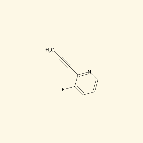 [CH2]C#Cc1ncccc1F